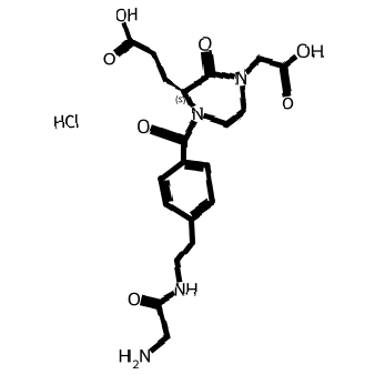 Cl.NCC(=O)NCCc1ccc(C(=O)N2CCN(CC(=O)O)C(=O)[C@@H]2CCC(=O)O)cc1